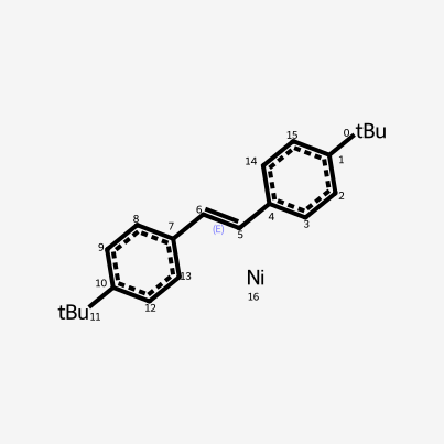 CC(C)(C)c1ccc(/C=C/c2ccc(C(C)(C)C)cc2)cc1.[Ni]